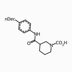 CCCCCCCCCCc1ccc(NC(=O)C2CCCN(C(=O)O)C2)cc1